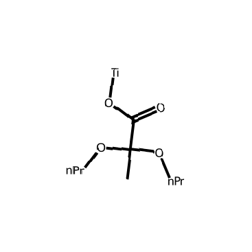 CCCOC(C)(OCCC)C(=O)[O][Ti]